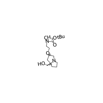 CN(CCO[C@H]1CN2CCC[C@]2(CO)C1)C(=O)OC(C)(C)C